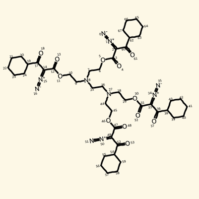 [N-]=[N+]=C(C(=O)OCCN(CCOC(=O)C(=[N+]=[N-])C(=O)C1CCCCC1)CCN(CCOC(=O)C(=[N+]=[N-])C(=O)C1CCCCC1)CCOC(=O)C(=[N+]=[N-])C(=O)C1CCCCC1)C(=O)C1CCCCC1